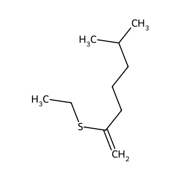 C=C(CCCC(C)C)SCC